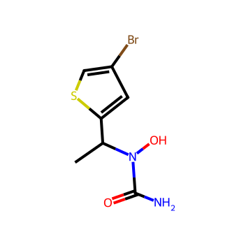 CC(c1cc(Br)cs1)N(O)C(N)=O